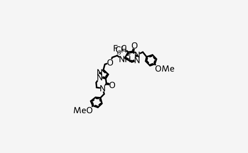 COc1ccc(CN2CCn3nc(COC[C@H](C)Nc4cnn(Cc5ccc(OC)cc5)c(=O)c4C(F)(F)F)cc3C2=O)cc1